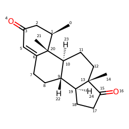 C[C@@H]1CC(=O)C=C2CC[C@@H]3[C@H](CC[C@]4(C)C(=O)CC[C@@H]34)[C@]21C